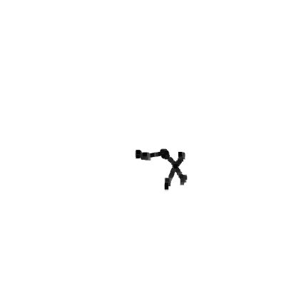 [CH2]C(=O)OC(F)(F)F